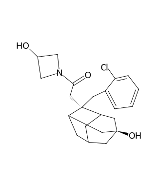 O=C(C[C@]1(Cc2ccccc2Cl)C2CC3CC1C[C@@](O)(C3)C2)N1CC(O)C1